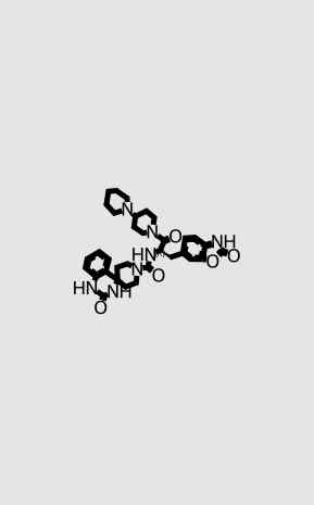 O=C1Nc2ccccc2C2(CCN(C(=O)N[C@H](Cc3ccc4[nH]c(=O)oc4c3)C(=O)N3CCC(N4CCCCC4)CC3)CC2)N1